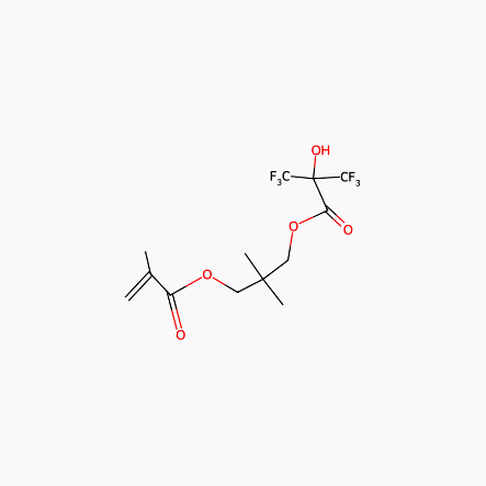 C=C(C)C(=O)OCC(C)(C)COC(=O)C(O)(C(F)(F)F)C(F)(F)F